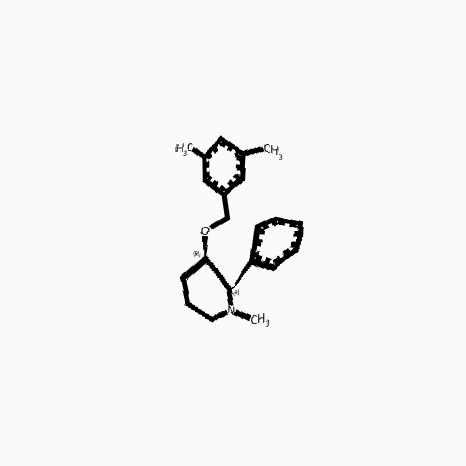 Cc1cc(C)cc(CO[C@@H]2CCCN(C)[C@@H]2c2ccccc2)c1